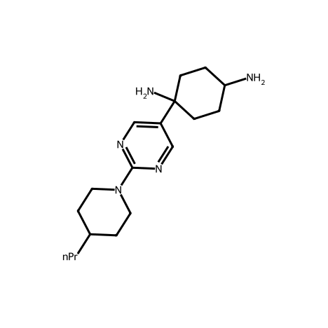 CCCC1CCN(c2ncc(C3(N)CCC(N)CC3)cn2)CC1